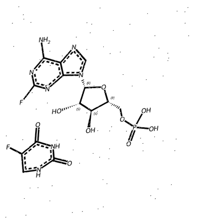 Nc1nc(F)nc2c1ncn2[C@@H]1O[C@H](COP(=O)(O)O)[C@@H](O)[C@@H]1O.O=c1[nH]cc(F)c(=O)[nH]1